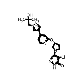 CC(C)(O)Cn1cc(-c2ccnc(O[C@@H]3CCN(c4cn[nH]c(=O)c4Cl)C3)c2)cn1